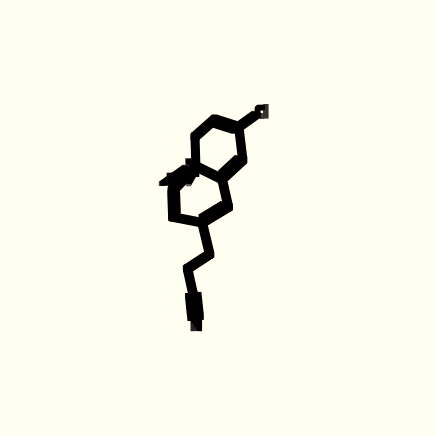 N#CCCC1=CC2=CC(Cl)=CCC23C=NC=CC3=C1